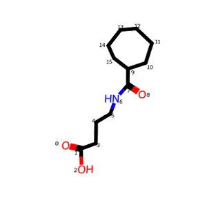 O=C(O)CCCNC(=O)C1CCCCCC1